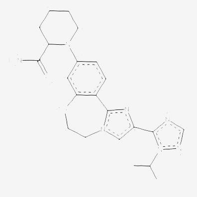 CC(C)n1ncnc1-c1cn2c(n1)-c1ccc(N3CCCCC3C(N)=O)cc1OCC2